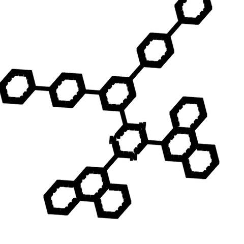 c1ccc(-c2ccc(-c3cc(-c4ccc(-c5ccccc5)cc4)cc(-c4nc(-c5cc6ccccc6c6ccccc56)nc(-c5cc6ccccc6c6ccccc56)n4)c3)cc2)cc1